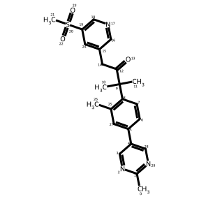 Cc1ncc(-c2ccc(C(C)(C)C(=O)Cc3cncc(S(C)(=O)=O)c3)c(C)c2)cn1